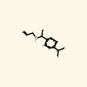 C=CCOC(C)c1ccc(C(C)C)cc1